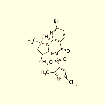 Cc1nn(C)cc1S(=O)(=O)NC(=O)c1ccc(Br)nc1N1C[C@@H](C)CC1(C)C